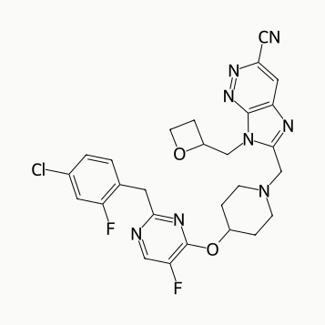 N#Cc1cc2nc(CN3CCC(Oc4nc(Cc5ccc(Cl)cc5F)ncc4F)CC3)n(CC3CCO3)c2nn1